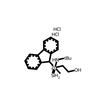 CC(C)(C)[NH][Zr]([CH3])(=[SiH2])([CH2]CO)[CH]1c2ccccc2-c2ccccc21.Cl.Cl